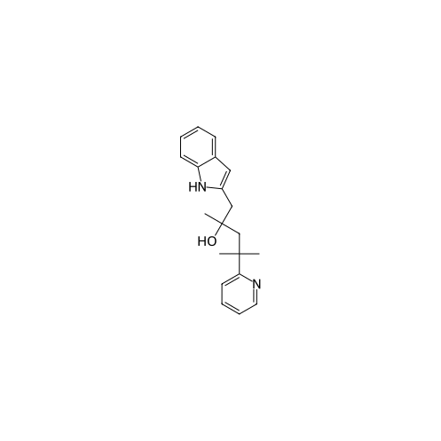 CC(O)(Cc1cc2ccccc2[nH]1)CC(C)(C)c1ccccn1